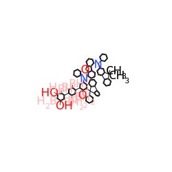 Bc1c(O)c(B)c(-c2c(B)c(B)c(-c3cc(N(c4ccccc4)c4cccc5c4oc4cccc(N(c6ccccc6)c6ccc7c(c6)C(C)(C)c6ccccc6-7)c45)cc4c3Oc3ccccc3C43c4ccccc4-c4ccccc43)c(B)c2B)c(B)c1O